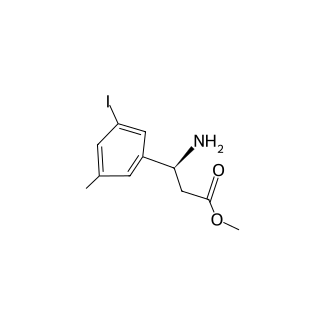 COC(=O)C[C@H](N)c1cc(C)cc(I)c1